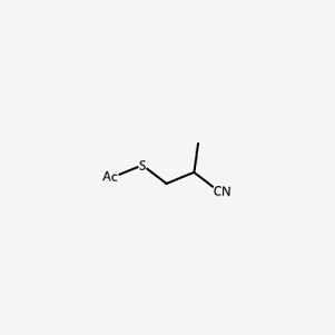 CC(=O)SCC(C)C#N